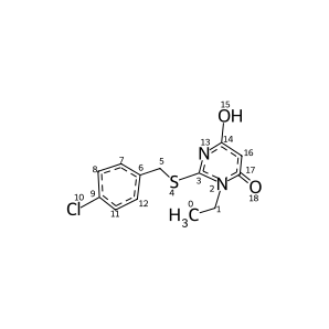 CCn1c(SCc2ccc(Cl)cc2)nc(O)cc1=O